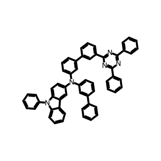 c1ccc(-c2cccc(N(c3cccc(-c4cccc(-c5nc(-c6ccccc6)nc(-c6ccccc6)n5)c4)c3)c3ccc4c(c3)c3ccccc3n4-c3ccccc3)c2)cc1